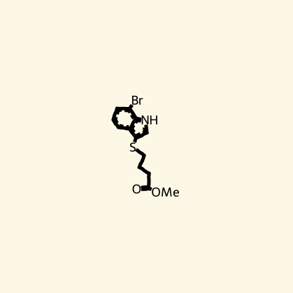 COC(=O)CCCSc1c[nH]c2c(Br)cccc12